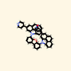 c1cc(-n2c3cccc4ccc5cc(-c6ccncc6)cc2c5c43)c2oc3c(-n4c5cccc6ccc7cc(-c8ccncc8)cc4c7c65)cccc3c2c1